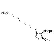 CCCCCCCCCCCCCCCCCCCn1cc[n+](C)c1CCCCCCC